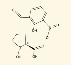 O=C(O)[C@@H]1CCCN1O.O=Cc1cccc([N+](=O)[O-])c1O